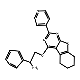 NC(COc1nc(-c2ccncc2)nc2sc3c(c12)CCCC3)c1ccccc1